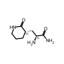 NC(=O)[C@@H](N)C[C@@H]1CCCNC1=O